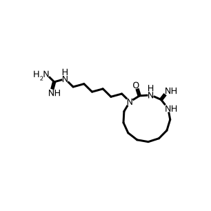 N=C(N)NCCCCCCN1CCCCCCCCNC(=N)NC1=O